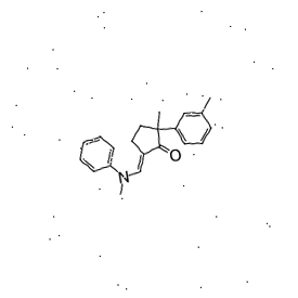 Cc1cccc(C2(C)CCC(=CN(C)c3ccccc3)C2=O)c1